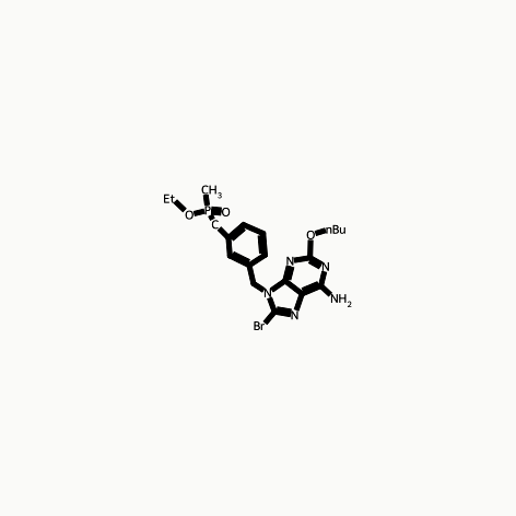 CCCCOc1nc(N)c2nc(Br)n(Cc3cccc(CP(C)(=O)OCC)c3)c2n1